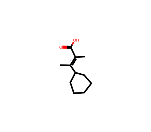 C/C(C(=O)O)=C(/C)C1CCCCC1